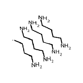 NCCCCN.NCCCCN.NCCCCN.[CH2]CCCN